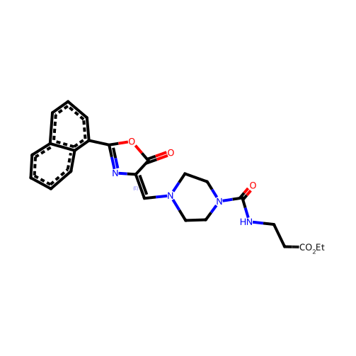 CCOC(=O)CCNC(=O)N1CCN(/C=C2/N=C(c3cccc4ccccc34)OC2=O)CC1